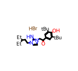 Br.CCC(CC)CCn1ccn(CC(=O)c2cc(C(C)(C)C)c(O)c(C(C)(C)C)c2)c1=N